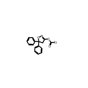 CCC(=O)OC1=NOC(c2ccccc2)(c2ccccc2)C1